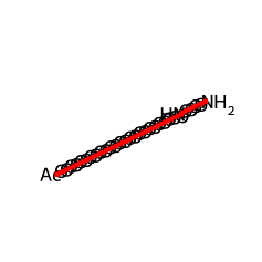 CC(=O)CCOCCOCCOCCOCCOCCOCCOCCOCCOCCOCCOCCOCCOCCOCCOCCOCCOCCOCCOCCOCCOCCOCCOCCOCCNC(=O)CCOCCOCCOCCOCCCN